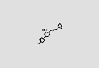 Cl.Clc1ccc(C2=CCN(CCCCn3cncn3)CC2)cc1